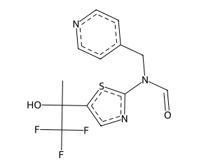 CC(O)(c1cnc(N(C=O)Cc2ccncc2)s1)C(F)(F)F